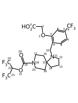 O=C(O)COc1cc(C(F)(F)F)ccc1CN1CCCC12CCN(C(=O)OC(C(F)(F)F)C(F)(F)F)CC2